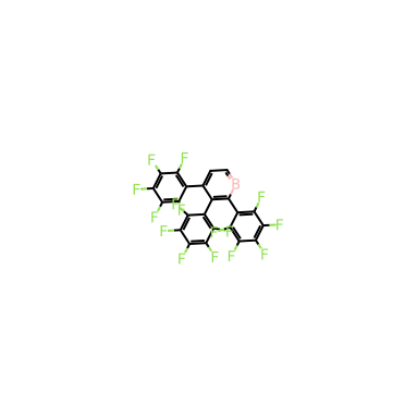 Fc1c(F)c(F)c(-c2bccc(-c3c(F)c(F)c(F)c(F)c3F)c2-c2c(F)c(F)c(F)c(F)c2F)c(F)c1F